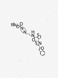 CC(C)(C)OC(=O)N1CCN(CCCNC(=O)c2sccc2-c2nc(-c3cc4ccccc4o3)cs2)CC1